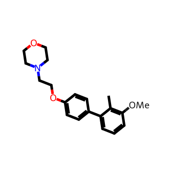 COc1cccc(-c2ccc(OCCN3CCOCC3)cc2)c1C